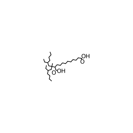 CCCCC(CC)CC(C)(CC(CC)CCCC)C(CCCCCCCCCC(=O)O)C(=O)O